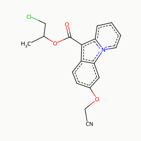 CC(CCl)OC(=O)c1c2ccc(OCC#N)cc2n2ccccc12